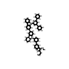 C=Nc1c(/C=C\C)sc2ccc(-c3cccc(N4c5ccc(-c6ccc7c8ccccc8n(-c8cc(-c9ccccc9)cc(-c9ccccc9)n8)c7c6)cc5C5C=CC=CC54)c3)cc12